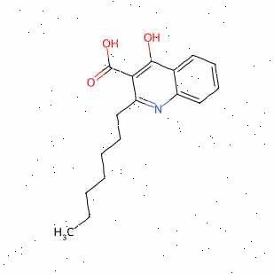 CCCCCCCc1nc2ccccc2c(O)c1C(=O)O